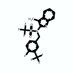 Cc1c(N(Cc2ccc(F)c(C(F)(F)F)c2)S(=O)(=O)C(F)(F)F)sc2ccccc12